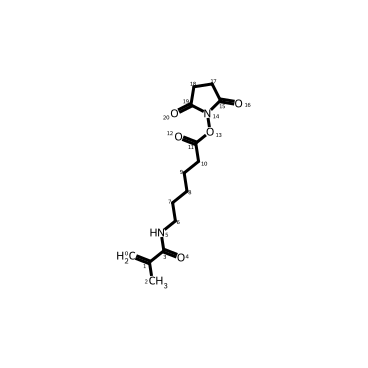 C=C(C)C(=O)NCCCCCC(=O)ON1C(=O)CCC1=O